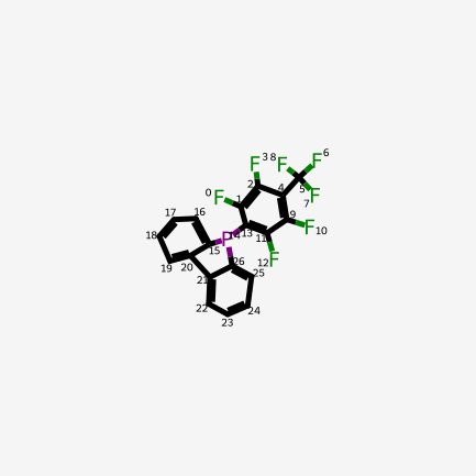 Fc1c(F)c(C(F)(F)F)c(F)c(F)c1-p1c2ccccc2c2ccccc21